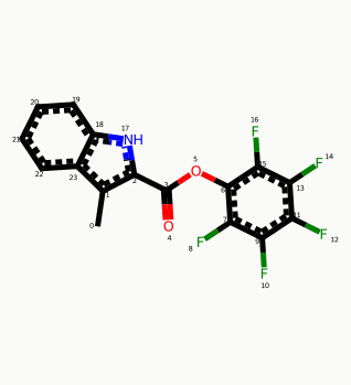 Cc1c(C(=O)Oc2c(F)c(F)c(F)c(F)c2F)[nH]c2ccccc12